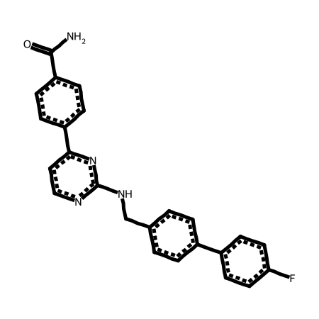 NC(=O)c1ccc(-c2ccnc(NCc3ccc(-c4ccc(F)cc4)cc3)n2)cc1